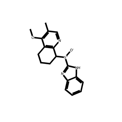 COc1c(C)cnc2c1CCCC2[S+]([O-])c1nc2ccccc2[nH]1